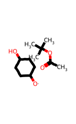 CC(=O)OC(C)(C)C.[O]C1CCC(O)CC1